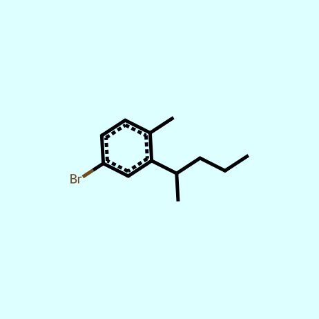 CCCC(C)c1cc(Br)ccc1C